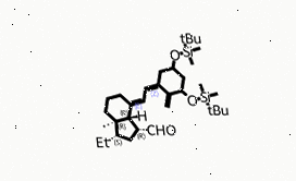 C=C1/C(=C\C=C2/CCC[C@]3(C)[C@@H](CC)C[C@@H](C=O)[C@@H]23)CC(O[Si](C)(C)C(C)(C)C)CC1O[Si](C)(C)C(C)(C)C